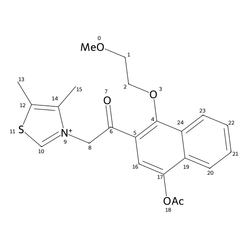 COCCOc1c(C(=O)C[n+]2csc(C)c2C)cc(OC(C)=O)c2ccccc12